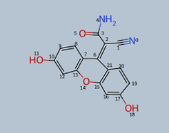 N#CC(C(N)=O)=C1c2ccc(O)cc2Oc2cc(O)ccc21